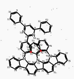 c1ccc(-c2cc(-c3ccccc3)nc(-c3ccc(-n4c5ccccc5c5ccc6c7ccc8c9ccccc9n(-c9ccccc9)c8c7n(-c7ccccc7)c6c54)cc3)n2)cc1